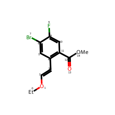 CCO/C=C/c1cc(Br)c(F)cc1C(=O)OC